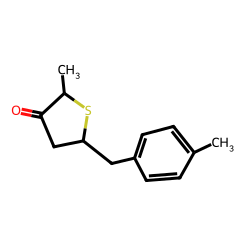 Cc1ccc(CC2CC(=O)C(C)S2)cc1